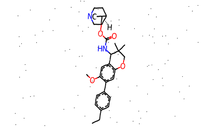 CCc1ccc(-c2cc3c(cc2OC)C(NC(=O)O[C@H]2CN4CCC2CC4)C(C)(C)CO3)cc1